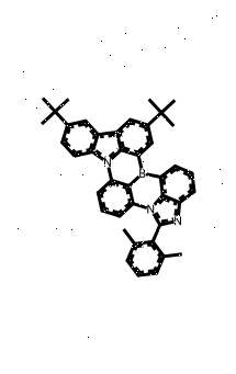 Cc1cccc(C)c1-c1nc2cccc3c2n1-c1cccc2c1B3c1cc(C(C)(C)C)cc3c4cc(C(C)(C)C)ccc4n-2c13